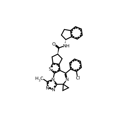 Cc1nnc2n1-c1sc3c(c1C(c1ccccc1Cl)=NC21CC1)C[C@H](C(=O)N[C@@H]1CCc2ccccc21)C3